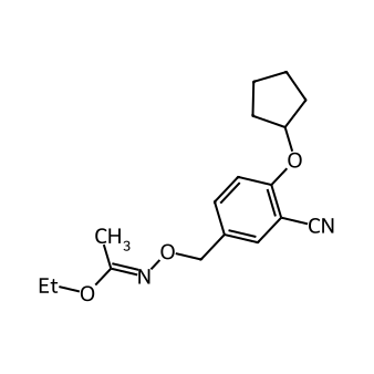 CCO/C(C)=N/OCc1ccc(OC2CCCC2)c(C#N)c1